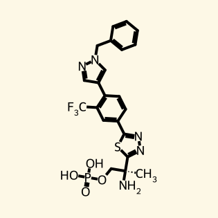 C[C@](N)(COP(=O)(O)O)c1nnc(-c2ccc(-c3cnn(Cc4ccccc4)c3)c(C(F)(F)F)c2)s1